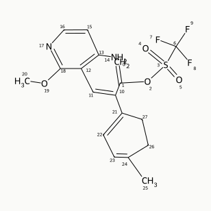 C=C(OS(=O)(=O)C(F)(F)F)/C(=C\c1c(N)ccnc1OC)C1=CC=C(C)CC1